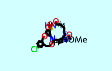 COC(=O)N(C)[C@H]1/C=C/C[C@H](C)[C@@H](C)C(=O)NS(=O)(=O)c2ccc3c(c2)N(COCCc2cc(Cl)ccc2CO3)C[C@@H]2CC[C@H]21